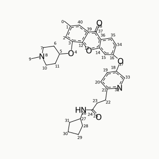 Cc1cc(OC2CCN(C)CC2)c2oc3cc(Oc4ccc(CCC(=O)NC5CCCC5)nc4)ccc3c(=O)c2c1